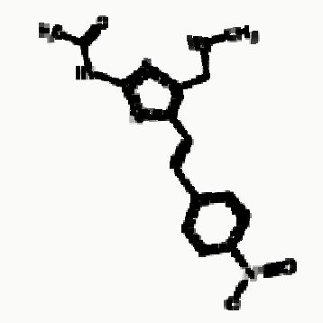 CNCc1sc(NC(C)=O)nc1C=Cc1ccc([N+](=O)[O-])cc1